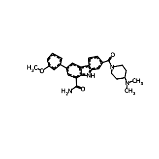 COc1cccc(-c2cc(C(N)=O)c3[nH]c4cc(C(=O)N5CCC(N(C)C)CC5)ccc4c3c2)c1